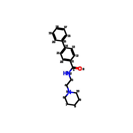 O=C(NCCN1CCCCC1)c1ccc(-c2ccccc2)cc1